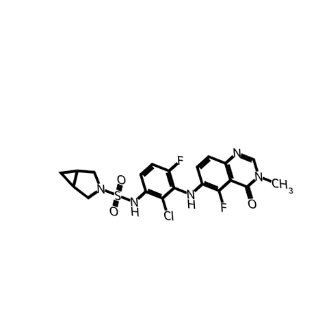 Cn1cnc2ccc(Nc3c(F)ccc(NS(=O)(=O)N4CC5CC5C4)c3Cl)c(F)c2c1=O